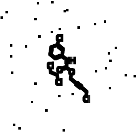 ClCCCl.O=C(Nc1cccc(Cl)c1)OCC#CCCl